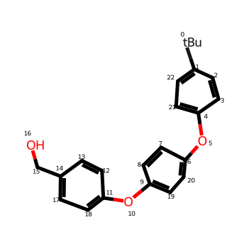 CC(C)(C)c1ccc(Oc2ccc(Oc3ccc(CO)cc3)cc2)cc1